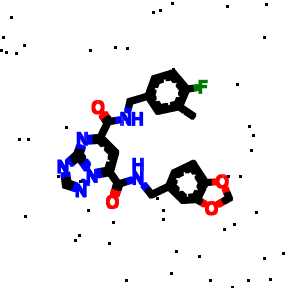 Cc1cc(CNC(=O)c2cc(C(=O)NCc3ccc4c(c3)OCO4)n3ncnc3n2)ccc1F